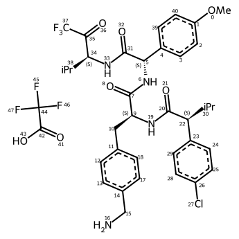 COc1ccc([C@H](NC(=O)[C@H](Cc2ccc(CN)cc2)NC(=O)[C@H](c2ccc(Cl)cc2)C(C)C)C(=O)N[C@H](C(=O)C(F)(F)F)C(C)C)cc1.O=C(O)C(F)(F)F